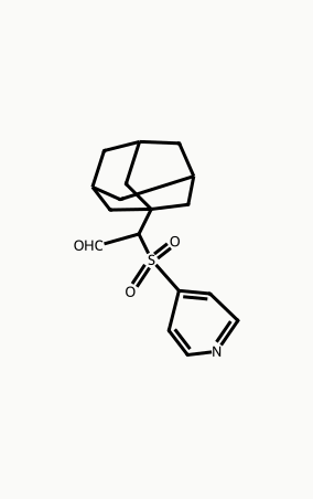 O=CC(C12CC3CC(CC(C3)C1)C2)S(=O)(=O)c1ccncc1